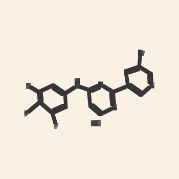 Cl.Fc1cc(Nc2ccnc(-c3cncc(Br)c3)n2)cc(F)c1F